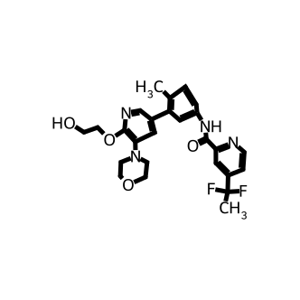 Cc1ccc(NC(=O)c2cc(C(C)(F)F)ccn2)cc1-c1cnc(OCCO)c(N2CCOCC2)c1